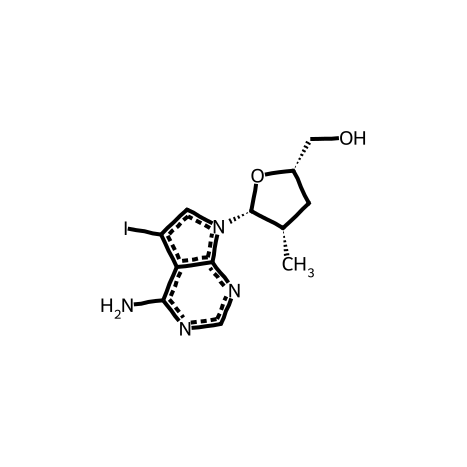 C[C@H]1C[C@@H](CO)O[C@H]1n1cc(I)c2c(N)ncnc21